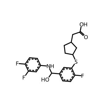 O=C(O)CC1CCC(Sc2cc(C(O)Nc3ccc(F)c(F)c3)ccc2F)C1